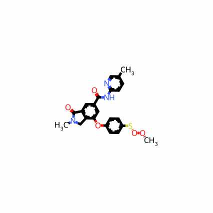 COOSc1ccc(Oc2cc(C(=O)Nc3ccc(C)cn3)cc3c2CN(C)C3=O)cc1